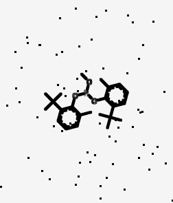 COP(Oc1c(C)cccc1C(C)(C)C)Oc1c(C)cccc1C(C)(C)C